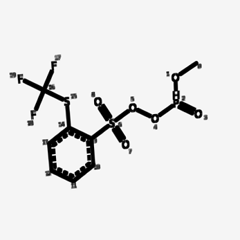 CO[PH](=O)OOS(=O)(=O)c1ccccc1SC(F)(F)F